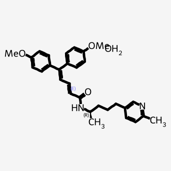 COc1ccc(C(=C/C=C/C(=O)N[C@H](C)CCCc2ccc(C)nc2)c2ccc(OC)cc2)cc1.O